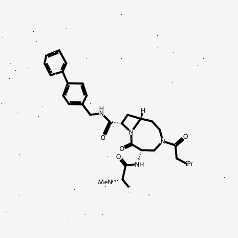 CN[C@@H](C)C(=O)N[C@H]1CN(C(=O)CC(C)C)CC[C@H]2C[C@@H](C(=O)NCc3ccc(-c4ccccc4)cc3)N2C1=O